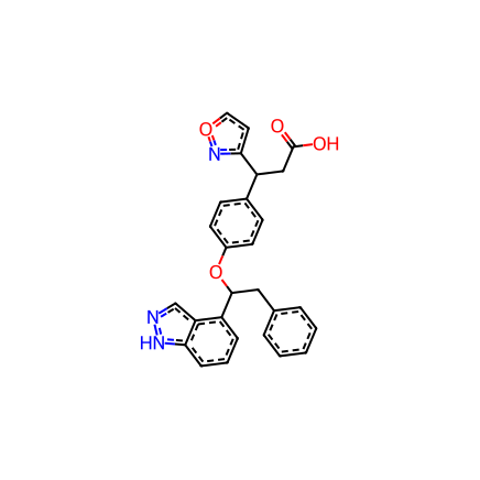 O=C(O)CC(c1ccc(OC(Cc2ccccc2)c2cccc3[nH]ncc23)cc1)c1ccon1